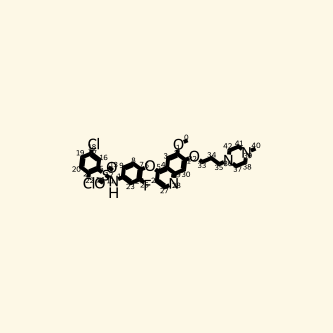 COc1cc2c(Oc3ccc(NS(=O)(=O)c4cc(Cl)ccc4Cl)cc3F)ccnc2cc1OCCCN1CCN(C)CC1